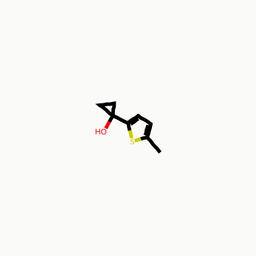 Cc1ccc(C2(O)CC2)s1